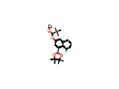 CCOC(Oc1cc(B2OC(C)(C)C(C)(C)O2)c2c(F)cccc2c1)[Si](C)(C)C